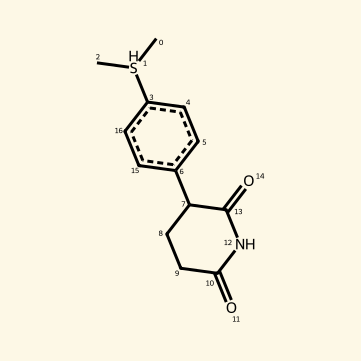 C[SH](C)c1ccc(C2CCC(=O)NC2=O)cc1